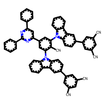 N#Cc1cc(C#N)cc(-c2ccc3c(c2)c2ccccc2n3-c2cc(-c3cc(-c4ccccc4)nc(-c4ccccc4)n3)cc(-n3c4ccccc4c4cc(-c5cc(C#N)cc(C#N)c5)ccc43)c2C#N)c1